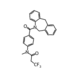 CN(C(=O)CC(F)(F)F)c1ccc(C(=O)N2Cc3ccccc3Cc3ccccc32)cc1